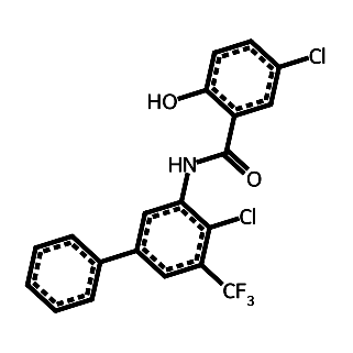 O=C(Nc1cc(-c2ccccc2)cc(C(F)(F)F)c1Cl)c1cc(Cl)ccc1O